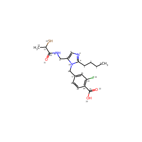 CCCCc1ncc(CNC(=O)C(C)S)n1Cc1ccc(C(=O)O)c(F)c1